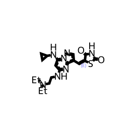 CCN(CC)CCNc1cc(NC2CC2)n2ncc(/C=C3/SC(=O)NC3=O)c2n1